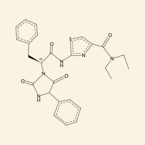 CCN(CC)C(=O)c1csc(NC(=O)[C@H](Cc2ccccc2)N2C(=O)NC(c3ccccc3)C2=O)n1